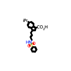 CC(C)c1ccc2c(CC=CCNS(=O)(=O)c3ccccc3)cc(C(=O)O)c-2cc1